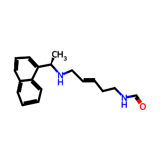 C[C@@H](NC/C=C/CCNC=O)c1cccc2ccccc12